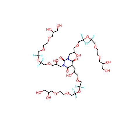 O=C1C(CC(O)COCC(F)(F)OC(F)(F)COCCOCC(O)CO)C(=O)N(CC(O)COCC(F)(F)OC(F)(F)COCCOCC(O)CO)C(=O)N1CC(O)COCC(F)(F)OC(F)(F)COCCOCC(O)CO